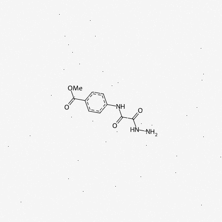 COC(=O)c1ccc(NC(=O)C(=O)NN)cc1